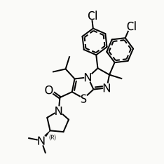 CC(C)C1=C(C(=O)N2CC[C@@H](N(C)C)C2)SC2=NC(C)(c3ccc(Cl)cc3)C(c3ccc(Cl)cc3)N21